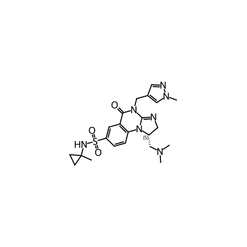 CN(C)C[C@H]1CN=C2N(Cc3cnn(C)c3)C(=O)c3cc(S(=O)(=O)NC4(C)CC4)ccc3N21